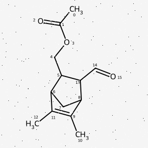 CC(=O)OCC1C2CC(C(C)=C2C)C1C=O